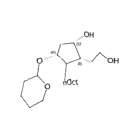 CCCCCCCCC1[C@@H](CCO)[C@@H](O)C[C@H]1OC1CCCCO1